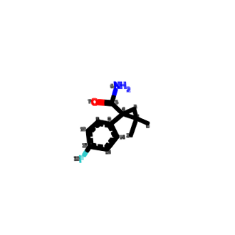 CC1(C)CC1(C(N)=O)c1ccc(F)cc1